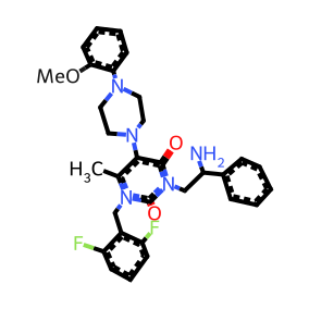 COc1ccccc1N1CCN(c2c(C)n(Cc3c(F)cccc3F)c(=O)n(CC(N)c3ccccc3)c2=O)CC1